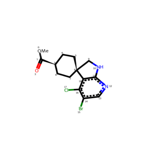 COC(=O)[C@H]1CC[C@@]2(CC1)CNc1ncc(Br)c(Cl)c12